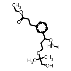 CCOC(=O)CCc1cccc(C(CCOC(C)(C)CO)OPI)c1